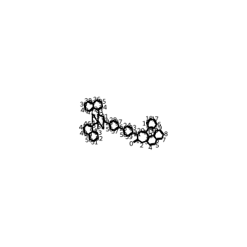 C=C1Cc2ccc3ccccc3c2C(c2ccccc2)=CC1c1ccc(-c2ccc(-c3cc(-c4cccc5ccccc45)nc(-c4cccc5ccccc45)n3)cc2)cc1